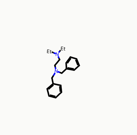 CCN(CC)CCN(Cc1ccccc1)Cc1ccccc1